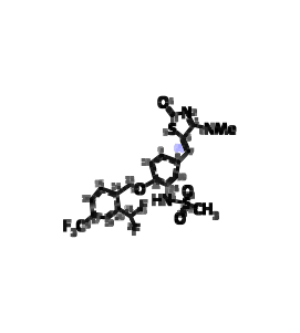 CNC1=NC(=O)S/C1=C\c1ccc(OCc2ccc(C(F)(F)F)cc2C(F)F)c(NS(C)(=O)=O)c1